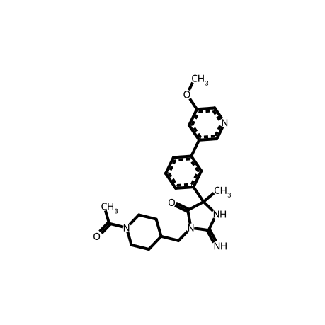 COc1cncc(-c2cccc(C3(C)NC(=N)N(CC4CCN(C(C)=O)CC4)C3=O)c2)c1